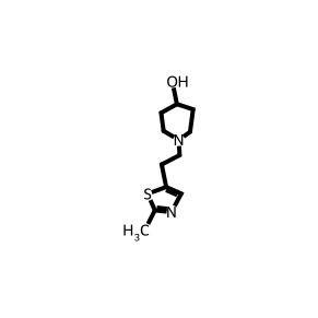 Cc1ncc(CCN2CCC(O)CC2)s1